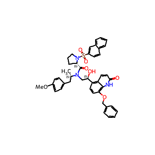 COc1ccc(C[C@H](C)N(C[C@@H](O)c2ccc(OCc3ccccc3)c3[nH]c(=O)ccc23)C(=O)[C@@H]2CCCN2S(=O)(=O)c2ccc3ccccc3c2)cc1